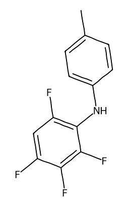 Cc1ccc(Nc2c(F)cc(F)c(F)c2F)cc1